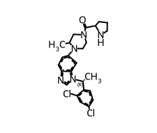 CC1CN(C(=O)C2CCCN2)CCN1c1ccc2ncn([C@H](C)c3ccc(Cl)cc3Cl)c2c1